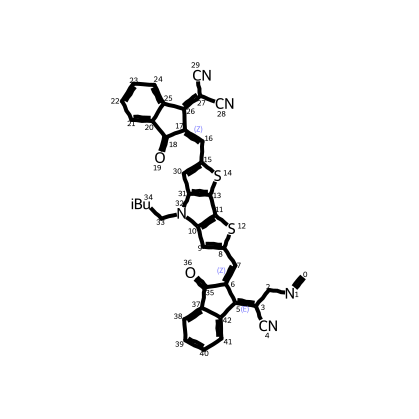 C=NC/C(C#N)=C1\C(=C\c2cc3c(s2)c2sc(/C=C4\C(=O)c5ccccc5C4=C(C#N)C#N)cc2n3CC(C)CC)C(=O)c2ccccc21